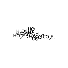 CCOC(=O)Oc1ccc2oc(=O)c(C(=O)NC(C(=O)N[C@@H]3C(=O)N4[C@@H]3SC(C)(C)[C@@H]4C(=O)O)c3ccccc3)cc2c1